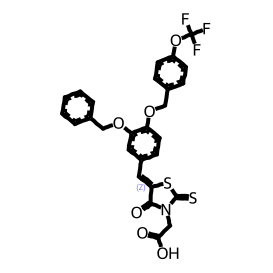 O=C(O)CN1C(=O)/C(=C/c2ccc(OCc3ccc(OC(F)(F)F)cc3)c(OCc3ccccc3)c2)SC1=S